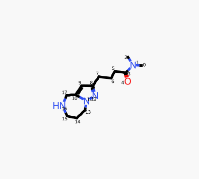 CN(C)C(=O)CCCc1cc2n(n1)CCCNC2